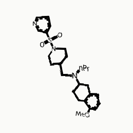 CCCN(CC1CCN(S(=O)(=O)c2cccnc2)CC1)C1CCc2c(cccc2OC)C1